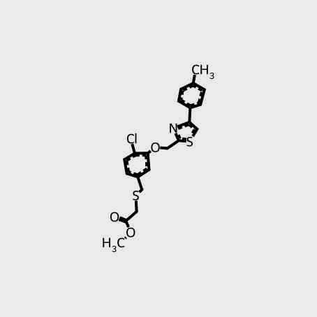 COC(=O)CSCc1ccc(Cl)c(OCc2nc(-c3ccc(C)cc3)cs2)c1